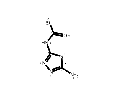 CCC(=O)Nc1nnc(N)s1